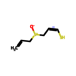 C=CC[S+]([O-])C/C=C\S